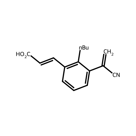 C=C(C#N)c1cccc(/C=C/C(=O)O)c1CCCC